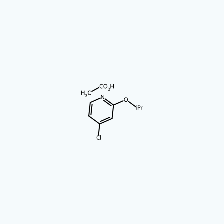 CC(=O)O.CC(C)Oc1cc(Cl)ccn1